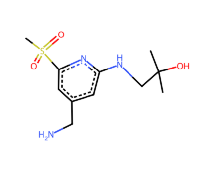 CC(C)(O)CNc1cc(CN)cc(S(C)(=O)=O)n1